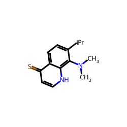 CC(C)c1ccc2c(=S)cc[nH]c2c1N(C)C